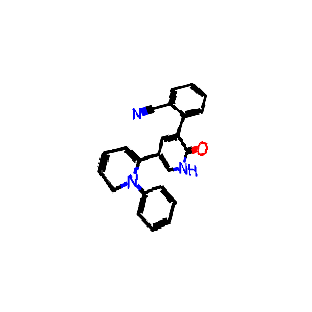 N#Cc1ccccc1-c1cc(C2=CC=CCN2c2ccccc2)c[nH]c1=O